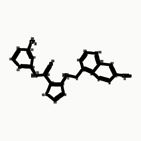 COc1ccc2c(CNc3ccsc3C(=O)Nc3cc(C(F)(F)F)ccn3)ccnc2c1